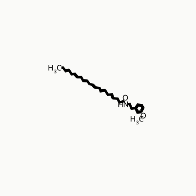 CCC=CCC=CCC=CCC=CCC=CCC=CCCC(=O)NCCc1cccc(OC)c1